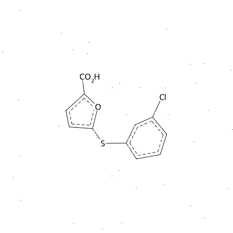 O=C(O)c1ccc(Sc2cccc(Cl)c2)o1